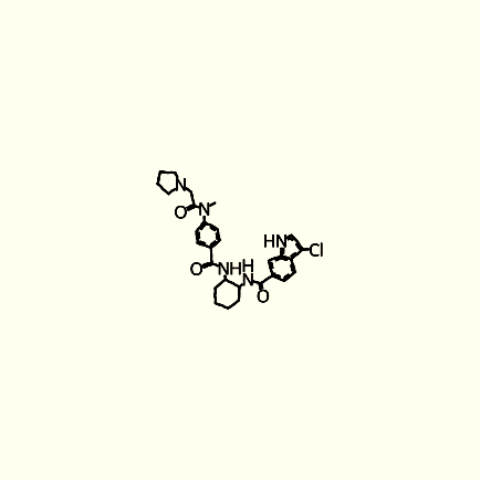 CN(C(=O)CN1CCCC1)c1ccc(C(=O)NC2CCCCC2NC(=O)c2ccc3c(Cl)c[nH]c3c2)cc1